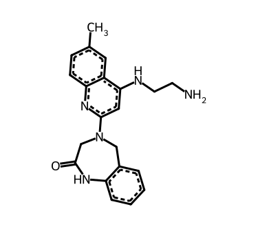 Cc1ccc2nc(N3CC(=O)Nc4ccccc4C3)cc(NCCN)c2c1